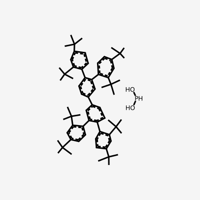 CC(C)(C)c1ccc(-c2ccc(-c3ccc(-c4ccc(C(C)(C)C)cc4C(C)(C)C)c(-c4ccc(C(C)(C)C)cc4C(C)(C)C)c3)cc2-c2ccc(C(C)(C)C)cc2C(C)(C)C)c(C(C)(C)C)c1.OPO